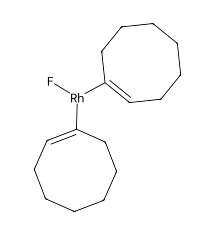 [F][Rh]([C]1=CCCCCCC1)[C]1=CCCCCCC1